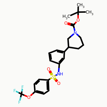 CC(C)(C)OC(=O)N1CCCC(c2cccc(NS(=O)(=O)c3ccc(OC(F)(F)F)cc3)c2)C1